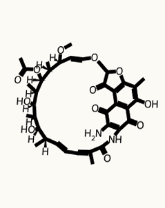 CO[C@H]1/C=C/O[C@@]2(C)Oc3c(C)c(O)c4c(c3C2=O)C(=O)C(N)=C(NC(=O)/C(C)=C\C=C\[C@H](C)[C@H](O)[C@@H](C)[C@@H](O)[C@@H](C)[C@H](OC(C)=O)[C@@H]1C)C4=O